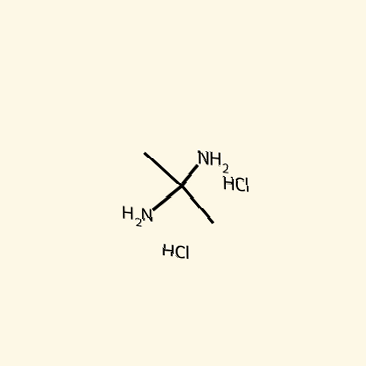 CC(C)(N)N.Cl.Cl